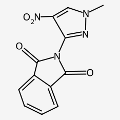 Cn1cc([N+](=O)[O-])c(N2C(=O)c3ccccc3C2=O)n1